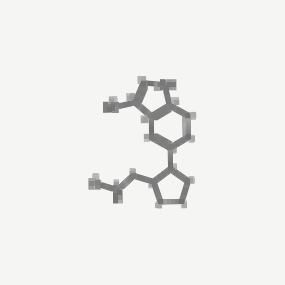 CCNCC1CCCC1c1ccc2[nH]cc(C#N)c2c1